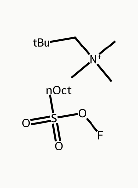 CC(C)(C)C[N+](C)(C)C.CCCCCCCCS(=O)(=O)OF